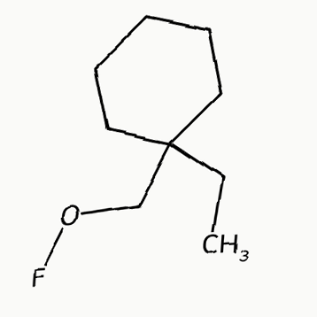 CCC1(COF)CCCCC1